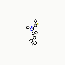 CC1(C)c2ccccc2-c2c(-c3cccc(-c4ccc(-c5cc(-c6ccc7sc8ccccc8c7c6)nc(-c6ccccc6)n5)c5ccccc45)c3)cccc21